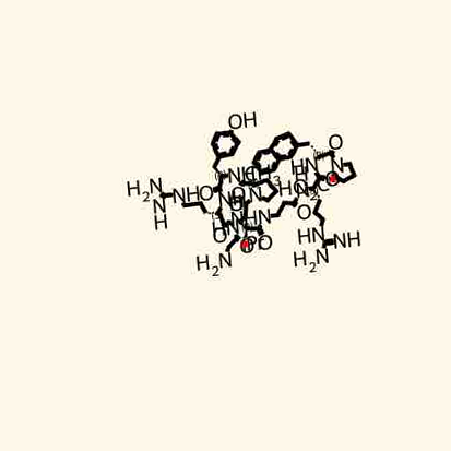 CC(C)[C@@H](NC(=O)[C@H](CCCNC(=N)N)NC(=O)[C@@H](Cc1ccc(O)cc1)NC(=O)[C@]1(C)CCCN1C(=O)CNC(=O)CN)C(=O)NCCC(=O)N[C@@H](CCCNC(=N)N)C(=O)N[C@H](Cc1ccc2ccccc2c1)C(=O)N1CCC[C@H]1C(=O)O